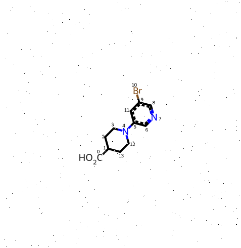 O=C(O)C1CCN(c2cncc(Br)c2)CC1